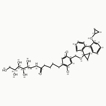 O=C(CCCCc1cc(Cl)c(COC2(c3cnccc3-c3ccccc3OC3CC3)CC2)cc1Cl)NC[C@H](O)[C@@H](O)[C@H](O)[C@H](O)CO